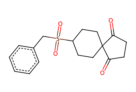 O=C1CCC(=O)C12CCC(S(=O)(=O)Cc1ccccc1)CC2